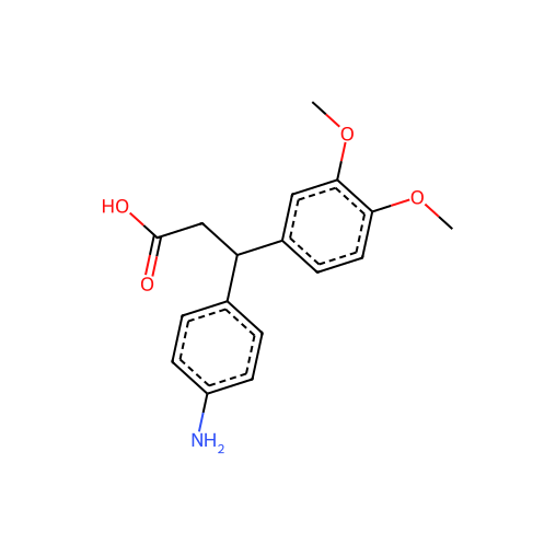 COc1ccc(C(CC(=O)O)c2ccc(N)cc2)cc1OC